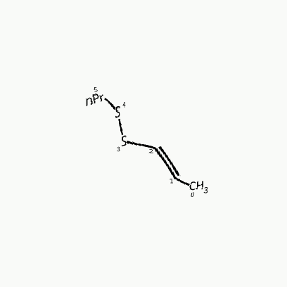 CC=CSSCCC